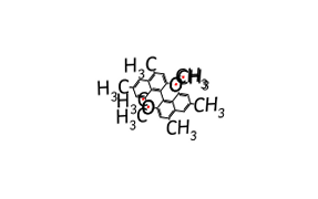 COc1cc(C)c2cc(C)cc(OC)c2c1-c1c(OC)cc(C)c2cc(C)cc(OC)c12